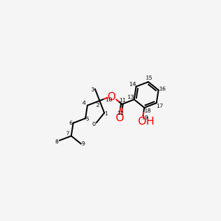 CCC(C)(CCCC(C)C)OC(=O)c1ccccc1O